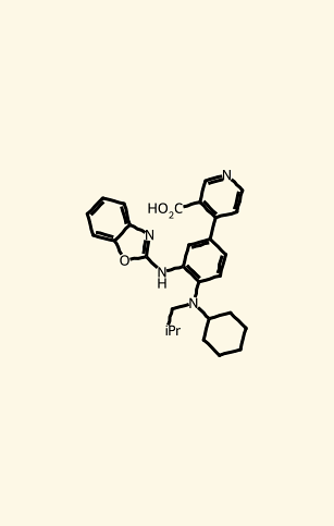 CC(C)CN(c1ccc(-c2ccncc2C(=O)O)cc1Nc1nc2ccccc2o1)C1CCCCC1